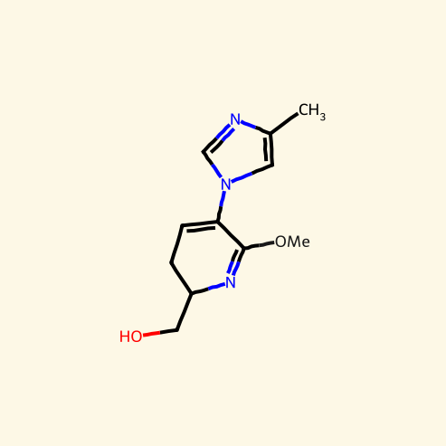 COC1=NC(CO)CC=C1n1cnc(C)c1